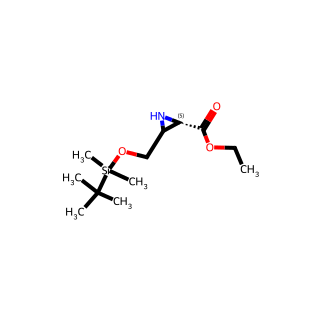 CCOC(=O)[C@H]1NC1CO[Si](C)(C)C(C)(C)C